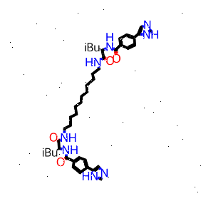 CCC(C)[C@H](NC(=O)c1ccc(-c2cnc[nH]2)cc1)C(=O)NCCCCCCCCCCCCNC(=O)[C@@H](NC(=O)c1ccc(-c2cnc[nH]2)cc1)C(C)CC